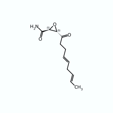 CC=CCC=CCCC(=O)[C@H]1O[C@@H]1C(N)=O